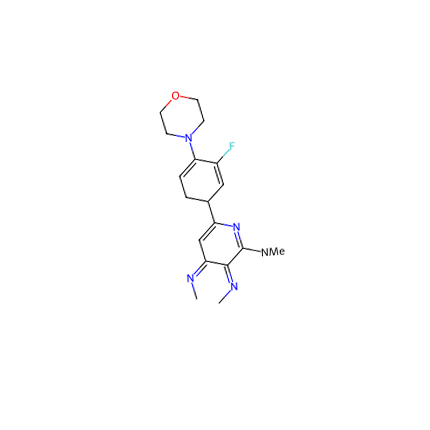 C/N=C1/C=C(C2C=C(F)C(N3CCOCC3)=CC2)N=C(NC)/C1=N/C